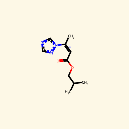 C/C(=C/C(=O)OCC(C)C)n1cncn1